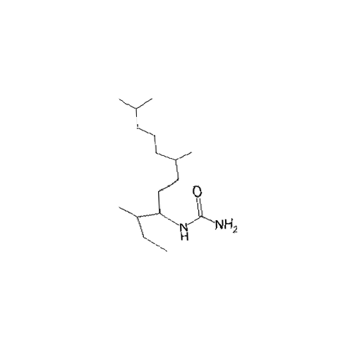 CCC(C)C(CCC(C)CCCC(C)C)NC(N)=O